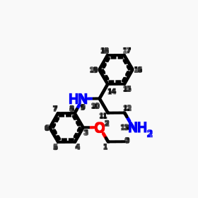 CCOc1ccccc1NC(CCN)c1ccccc1